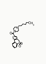 CCCCCCN1CCN(C(=O)c2cc3c(s2)-c2ccccc2S(=O)(=O)C3)CC1